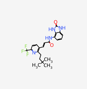 CC(C)(C)CCc1nc(C(F)(F)F)ccc1/C=C/C(=O)Nc1cccc2[nH]c(=O)[nH]c12